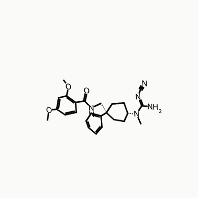 COc1ccc(C(=O)NC[C@]2(c3ccccc3)CC[C@H](N(C)C(N)=NC#N)CC2)c(OC)c1